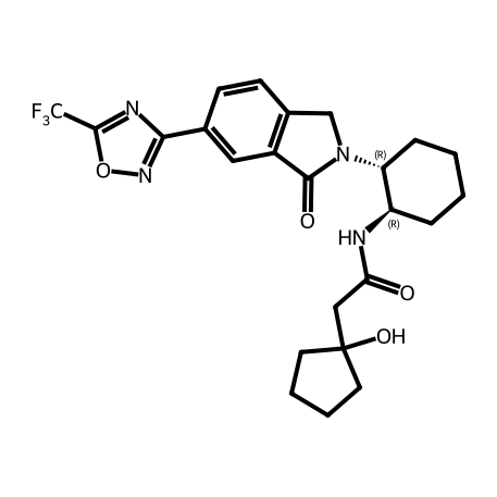 O=C(CC1(O)CCCC1)N[C@@H]1CCCC[C@H]1N1Cc2ccc(-c3noc(C(F)(F)F)n3)cc2C1=O